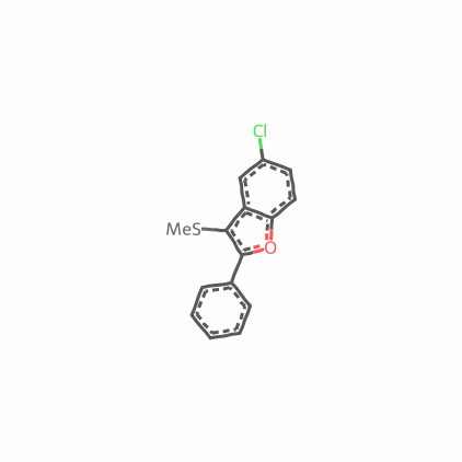 CSc1c(-c2ccccc2)oc2ccc(Cl)cc12